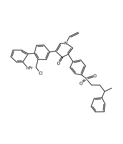 C=Cn1cc(-c2ccc(S(=O)(=O)CCC(C)c3ccccc3)cc2)c(=O)c(-c2ccc(-c3ccccc3CCC)c(CCl)c2)c1